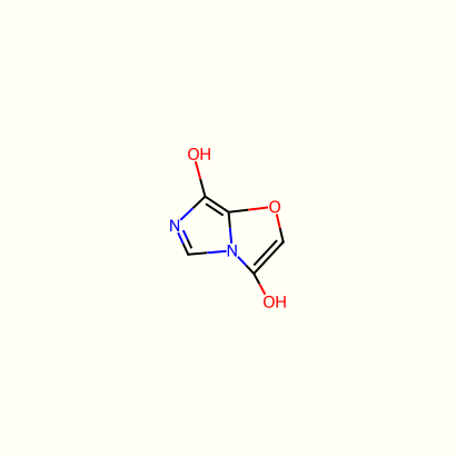 Oc1ncn2c(O)coc12